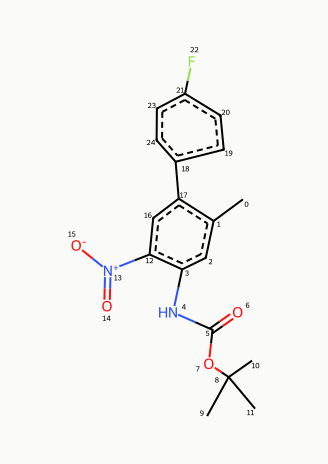 Cc1cc(NC(=O)OC(C)(C)C)c([N+](=O)[O-])cc1-c1ccc(F)cc1